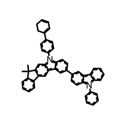 CC1(C)c2ccccc2-c2cc3c4cc(-c5ccc6c(c5)c5ccccc5n6-c5ccccc5)ccc4n(-c4ccc(C5=CC=CCC5)cc4)c3cc21